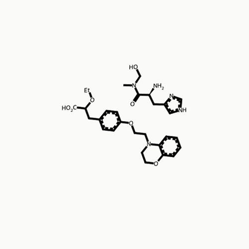 CCOC(Cc1ccc(OCCN2CCOc3ccccc32)cc1)C(=O)O.CN(CO)C(=O)[C@@H](N)Cc1c[nH]cn1